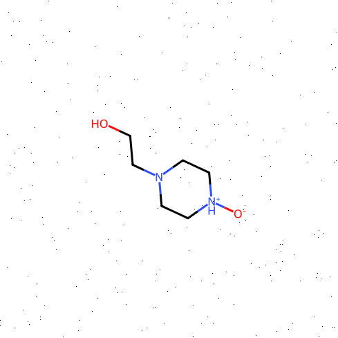 [O-][NH+]1CCN(CCO)CC1